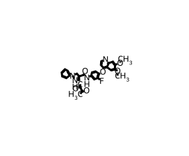 COc1cc2nccc(Oc3ccc(NC(=O)C4=C(CC(=O)C(C)=O)NN(c5ccccc5)C4)cc3F)c2cc1OC